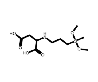 CO[Si](C)(CCCNC(CC(=O)O)C(=O)O)OC